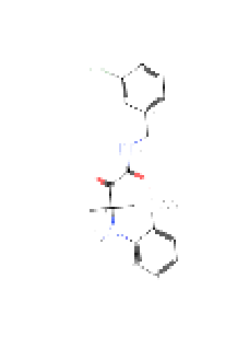 COc1ccccc1N(C=O)C(C)(C)C(=O)C(=O)NCc1cccc(Cl)c1